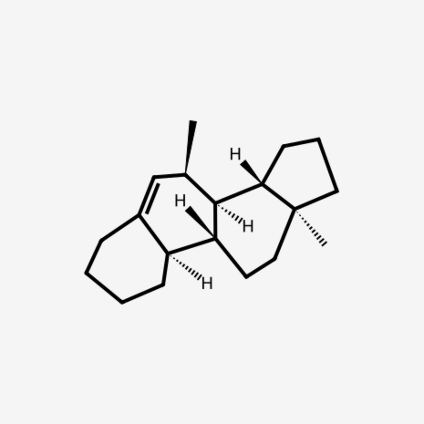 C[C@@H]1C=C2CCCC[C@@H]2[C@H]2CC[C@]3(C)CCC[C@H]3[C@@H]21